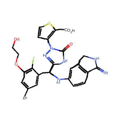 CCc1cc(OCCO)c(F)c(C(Nc2ccc3c(c2)CNC3=N)c2nn(-c3ccsc3C(=O)O)c(=O)[nH]2)c1